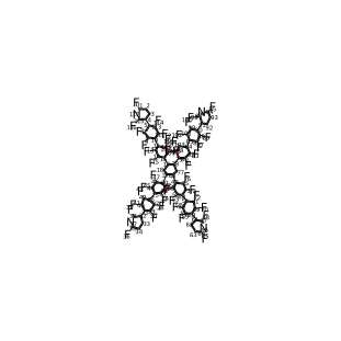 Fc1ccc(-c2c(F)c(F)c(-c3c(F)c(F)c(-c4cc(-c5c(F)c(F)c(-c6c(F)c(F)c(-c7ccc(F)nc7F)c(F)c6F)c(F)c5F)c(-c5c(F)c(F)c(-c6c(F)c(F)c(-c7ccc(F)nc7F)c(F)c6F)c(F)c5F)cc4-c4c(F)c(F)c(-c5c(F)c(F)c(-c6ccc(F)nc6F)c(F)c5F)c(F)c4F)c(F)c3F)c(F)c2F)c(F)n1